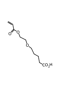 C=CC(=O)OCCOCCCCC(=O)O